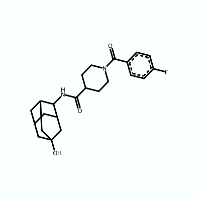 O=C(NC1C2CC3CC1CC(O)(C3)C2)C1CCN(C(=O)c2ccc(F)cc2)CC1